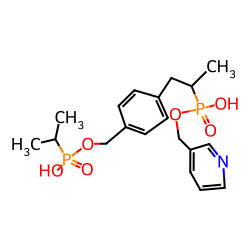 CC(C)P(=O)(O)OCc1ccc(CC(C)P(=O)(O)OCc2cccnc2)cc1